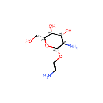 NCCO[C@@H]1O[C@H](CO)[C@H](O)[C@H](O)[C@H]1N